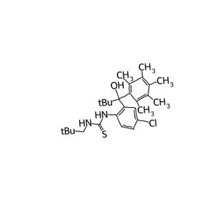 Cc1c(C)c(C)c(C(O)(c2cc(Cl)ccc2NC(=S)NCC(C)(C)C)C(C)(C)C)c(C)c1C